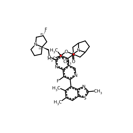 Cc1nc2c(-c3ncc4c(N5CC6CCC(C5)N6C(=O)OC(C)(C)C)nc(OC[C@@]56CCCN5C[C@H](F)C6)nc4c3F)c(C)c(C)cc2s1